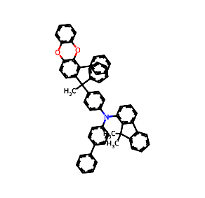 CC1(C)c2ccccc2-c2cccc(N(c3ccc(-c4ccccc4)cc3)c3ccc(C(C)(c4ccccc4)c4ccc5c(c4-c4ccccc4)Oc4ccccc4O5)cc3)c21